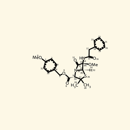 COc1ccc(COC(=O)[C@@H]2N3C(=O)[C@@](NC(=O)Cc4ccccc4)(OC)[C@H]3SC2(C)C)cc1